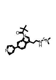 CN(C)SNCCc1cn(C(=O)C(C)(C)C)c2cc(-c3ccncc3)ccc12